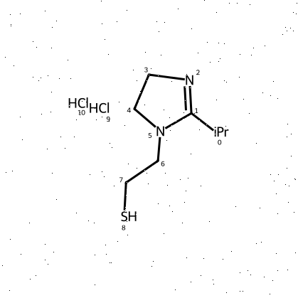 CC(C)C1=NCCN1CCS.Cl.Cl